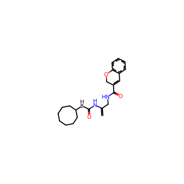 C=C(CNC(=O)C1=Cc2ccccc2OC1)NC(=O)BC1CCCCCCC1